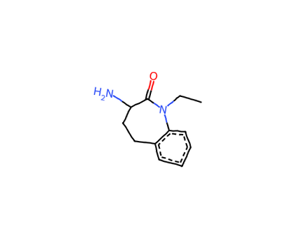 CCN1C(=O)C(N)CCc2ccccc21